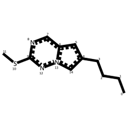 CCCCc1cc2cnc(SC)nn2c1